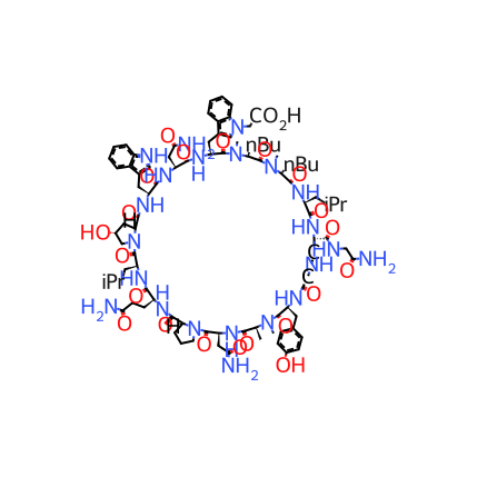 CCCC[C@H]1C(=O)N(C)[C@@H](CCCC)C(=O)N[C@@H](CC(C)C)C(=O)N[C@H](C(=O)NCC(N)=O)CNCC(=O)N[C@@H](Cc2ccc(O)cc2)C(=O)N(C)[C@@H](C)C(=O)N[C@@H](CC(N)=O)C(=O)N2CCC[C@H]2C(=O)N[C@@H](CCC(N)=O)C(=O)N[C@@H](CC(C)C)C(=O)N2C[C@H](O)C[C@H]2C(=O)N[C@@H](Cc2c[nH]c3ccccc23)C(=O)N[C@@H](CC(N)=O)C(=O)N[C@@H](Cc2cn(CC(=O)O)c3ccccc23)C(=O)N1C